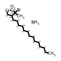 CCCCCCCCCCCCCCC(CC)C(C)(C)Br.N